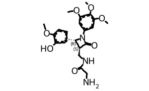 COc1ccc([C@H]2[C@H](CNC(=O)CN)C(=O)N2c2cc(OC)c(OC)c(OC)c2)cc1O